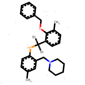 CCC(CC)(Pc1ccc(C)cc1CN1CCCCC1)c1cccc(C)c1OCc1ccccc1